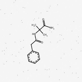 CC(C)(NC(=O)[CH]c1ccccc1)C(N)=O